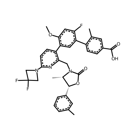 COc1cc(F)c(-c2ccc(C(=O)O)cc2C)cc1-c1ccc(N2CC(F)(F)C2)nc1CN1C(=O)O[C@H](c2cccc(C)c2)[C@@H]1C